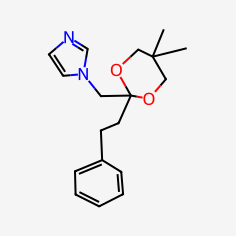 CC1(C)COC(CCc2ccccc2)(Cn2ccnc2)OC1